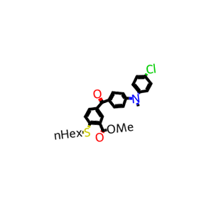 CCCCCCSc1ccc(C(=O)c2ccc(N(C)c3ccc(Cl)cc3)cc2)cc1C(=O)OC